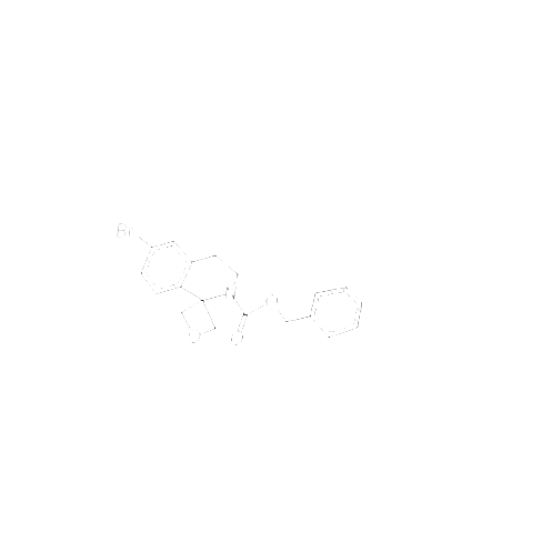 O=C(OCc1ccccc1)N1CCc2cc(Br)ccc2C12COC2